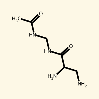 CC(=O)NCNC(=O)C(N)CN